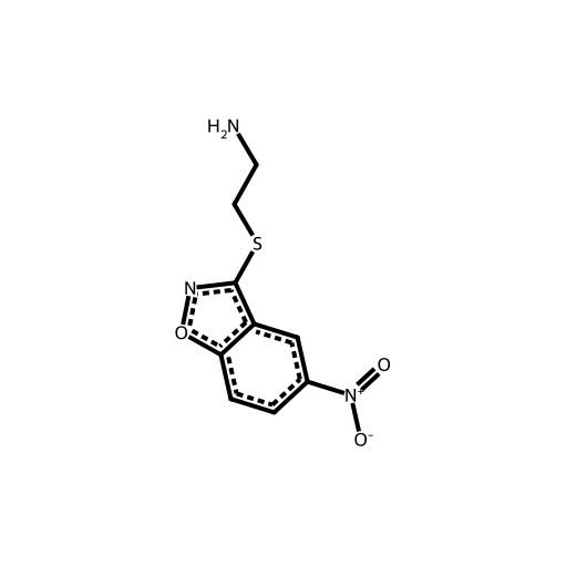 NCCSc1noc2ccc([N+](=O)[O-])cc12